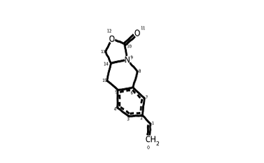 C=Cc1ccc2c(c1)CN1C(=O)OCC1C2